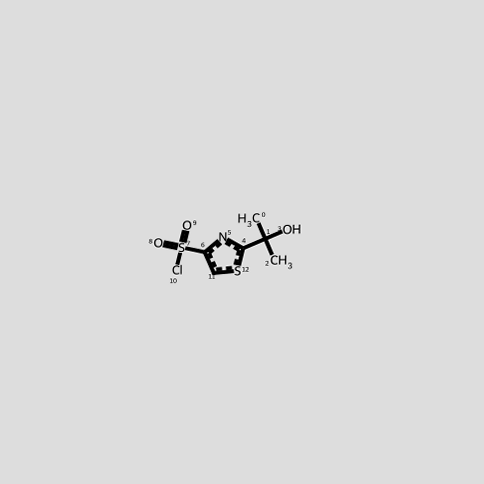 CC(C)(O)c1nc(S(=O)(=O)Cl)cs1